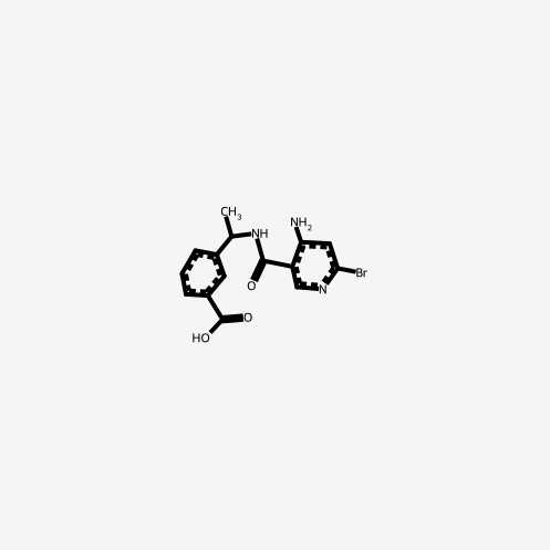 CC(NC(=O)c1cnc(Br)cc1N)c1cccc(C(=O)O)c1